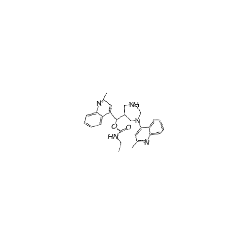 CCNC(=O)OC(c1cc(C)nc2ccccc12)C1CNCCN(c2cc(C)nc3ccccc23)C1